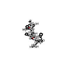 CNC(=N)NCCC[C@H](NC(=O)[C@H](CC1CC1)NC(=O)CNC(=O)[C@H](Cc1ccccc1)NC(=O)[C@@H](NC(=O)[C@H](CC(N)=O)NC(=O)[C@@H]1C[C@@H](O)CN1C(=O)[C@@H](Cc1ccc(O)cc1)NC(C)=O)[C@@H](C)O)C(=O)N[C@@H](Cc1c[nH]c2ccccc12)C(N)=O